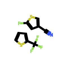 FC(F)(F)c1cccs1.N#Cc1csc(F)c1